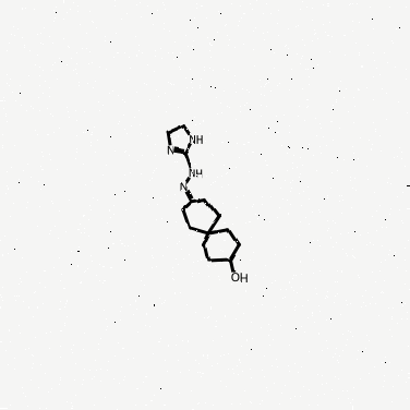 OC1CCC2(CCC(=NNC3=NCCN3)CC2)CC1